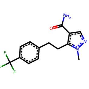 Cn1ncc(C(N)=O)c1CCc1ccc(C(F)(F)F)cc1